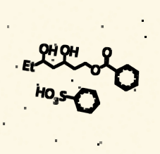 CCC(O)CC(O)CCOC(=O)c1ccccc1.O=S(=O)(O)c1ccccc1